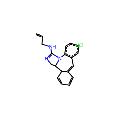 C=CCNC1=NCC2C3C=CC=CC3=Cc3ccccc3N12.Cl